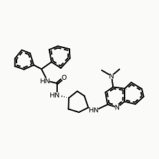 CN(C)c1cc(N[C@H]2CC[C@@H](NC(=O)NC(c3ccccc3)c3ccccc3)CC2)nc2ccccc12